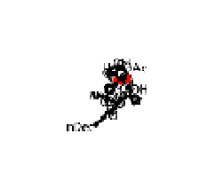 CCCCCCCCCCCCCCCCC(=O)OCC(COP(=O)([O-])OCC[N+](C)(C)C)OC(=O)CNC(c1ccccc1)[C@@H](O)C(=O)O[C@H]1C[C@@]2(O)[C@@H](OC(=O)c3ccccc3)C3[C@](C)(C(=O)[C@H](OC(C)=O)C(=C1C)C2(C)C)[C@@H](O)C[C@H]1OC[C@@]31OC(C)=O